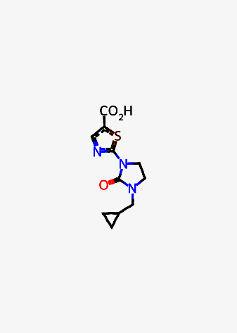 O=C(O)c1cnc(N2CCN(CC3CC3)C2=O)s1